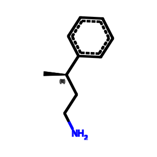 C[C@H](CCN)c1ccccc1